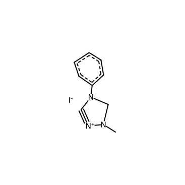 CN1CN(c2ccccc2)C#[N+]1.[I-]